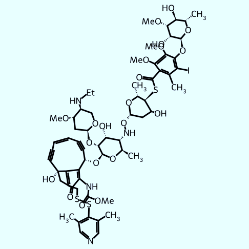 CCN[C@H]1CO[C@@H](O[C@H]2[C@H](O[C@H]3C#C/C=C\C#C[C@]4(O)CC(=O)C(NC(=O)OC)=C3/C4=C\CSSc3c(C)cncc3C)O[C@H](C)[C@@H](NO[C@H]3C[C@H](O)[C@H](SC(=O)c4c(C)c(I)c(O[C@@H]5O[C@@H](C)[C@H](O)[C@@H](OC)[C@H]5O)c(OC)c4OC)[C@@H](C)O3)[C@H]2O)C[C@@H]1OC